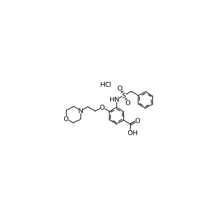 Cl.O=C(O)c1ccc(OCCN2CCOCC2)c(NS(=O)(=O)Cc2ccccc2)c1